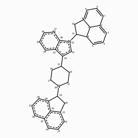 C1=CC2=CC=CC3C2C(=C1)CC3n1cc(C2CCN(C3Cc4cccc5cccc3c45)CC2)c2cccnc21